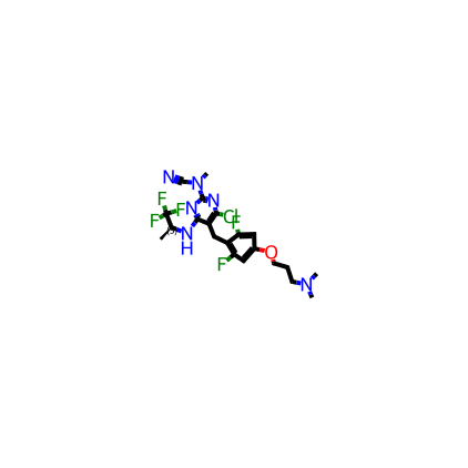 C[C@H](Nc1nc(N(C)C#N)nc(Cl)c1Cc1c(F)cc(OCCCN(C)C)cc1F)C(F)(F)F